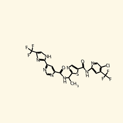 CC(NC(=O)c1cc(-c2nc(C(F)(F)F)c[nH]2)ncn1)c1ncc(C(=O)Nc2cc(C(F)(F)F)c(Cl)cn2)s1